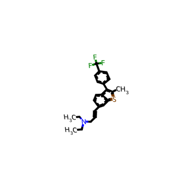 CCN(CC)CC#Cc1ccc2c(-c3ccc(C(F)(F)F)cc3)c(C)sc2c1